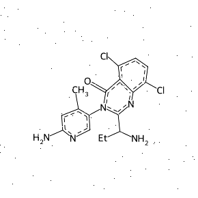 CCC(N)c1nc2c(Cl)ccc(Cl)c2c(=O)n1-c1cnc(N)cc1C